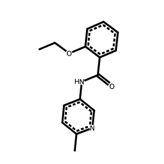 CCOc1ccccc1C(=O)Nc1ccc(C)nc1